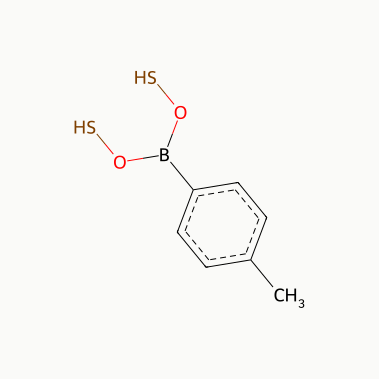 Cc1ccc(B(OS)OS)cc1